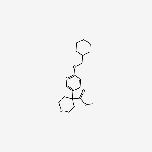 COC(=O)C1(c2ccc(OCC3CCCCC3)nc2)CCOCC1